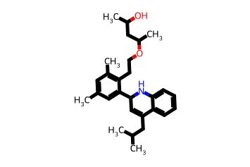 Cc1cc(C)c(CCOC(C)CC(C)O)c(C2C=C(CC(C)C)c3ccccc3N2)c1